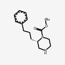 CC(C)(C)OC(=O)N1CCNC[C@@H]1CCCc1ccccc1